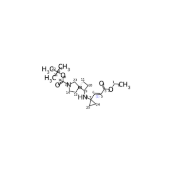 CCOC(=O)/C=C/C1(NC2CC[C@@]23CCN(C(=O)OC(C)(C)C)C3)CC1